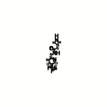 O=C(CC1CNC1)NCc1ccc(C(F)(F)F)cn1